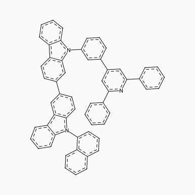 c1ccc(-c2cc(-c3cccc(-n4c5ccccc5c5ccc(-c6ccc7c(c6)c6ccccc6n7-c6cccc7ccccc67)cc54)c3)cc(-c3ccccc3)n2)cc1